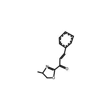 CC1COC(C(=O)C=Cc2ccccc2)=N1